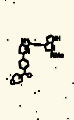 CNc1cc(C#Cc2cnc3ccc(-c4ccc(C(=O)N5CCOCC5)cc4)nn23)c2cc[nH]c2n1